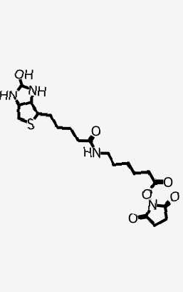 O=C(CCCCC1SCC2NC(O)NC21)NCCCCCC(=O)ON1C(=O)CCC1=O